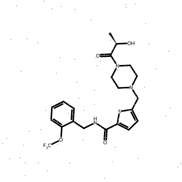 C[C@@H](O)C(=O)N1CCN(Cc2ccc(C(=O)NCc3ccccc3OC(F)(F)F)s2)CC1